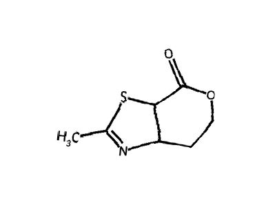 CC1=NC2CCOC(=O)C2S1